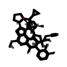 CSc1nc2c(F)c(-c3cccc(F)c3Cl)c(CCC#N)cc2c2c1cc([C@H]1CCCN1C(=O)C1CC1)n2[C@H]1[C@@H]2C[C@H]1N(C(=O)OC(C)(C)C)C2